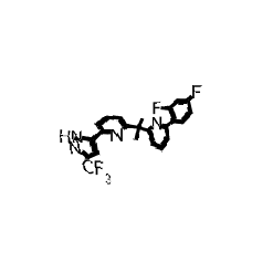 CC(C)(c1cccc(-c2cc(C(F)(F)F)n[nH]2)n1)c1cccc(-c2ccc(F)cc2F)n1